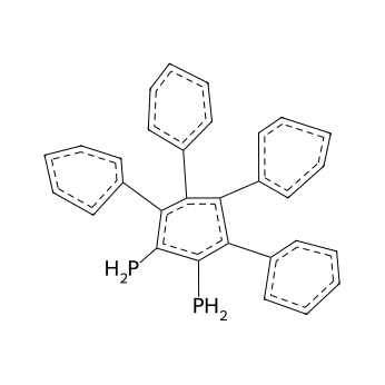 Pc1c(P)c(-c2ccccc2)c(-c2ccccc2)c(-c2ccccc2)c1-c1ccccc1